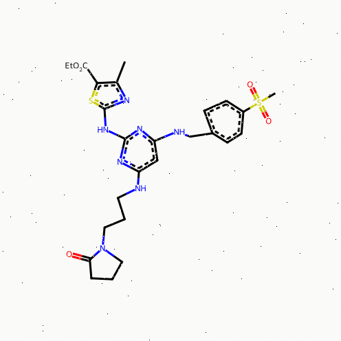 CCOC(=O)c1sc(Nc2nc(NCCCN3CCCC3=O)cc(NCc3ccc(S(C)(=O)=O)cc3)n2)nc1C